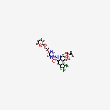 O=C(Nc1cnc(OCCOC2CCCCO2)cn1)/C(=C/C1CC(F)C(F)C1)c1ccc(S(=O)(=O)C2CC2)cc1